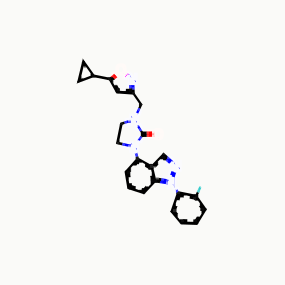 O=C1N(Cc2cc(C3CC3)on2)CCN1c1cccc2c1cnn2-c1ccccc1F